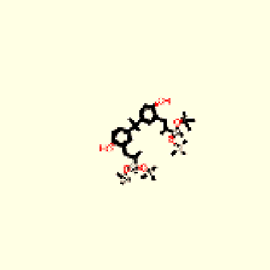 CC(Cc1cc(C(C)(C)c2ccc(O)c(CC(C)[Si](C)(O[Si](C)(C)C)O[Si](C)(C)C)c2)ccc1O)[Si](C)(O[Si](C)(C)C)O[Si](C)(C)C